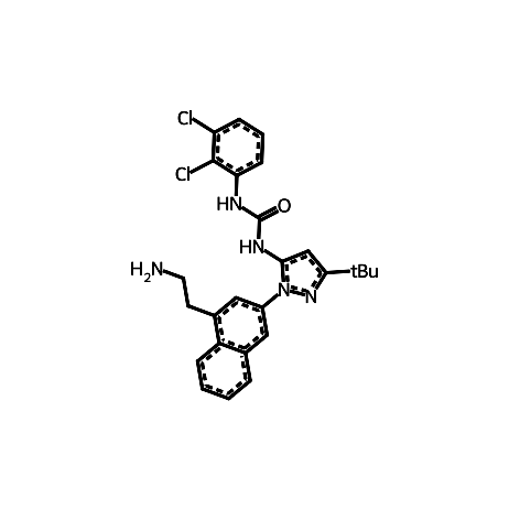 CC(C)(C)c1cc(NC(=O)Nc2cccc(Cl)c2Cl)n(-c2cc(CCN)c3ccccc3c2)n1